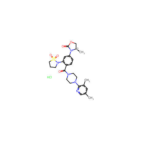 Cc1cnc(N2CCN(C(=O)c3ccc(N4C(=O)OC[C@H]4C)cc3N3CCCS3(=O)=O)CC2)c(C)c1.Cl